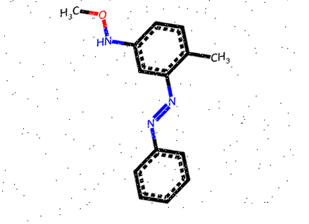 CONc1ccc(C)c(/N=N/c2ccccc2)c1